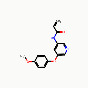 C=CC(=O)Nc1cncc(Oc2ccc(OC)cc2)c1